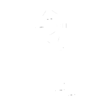 C=C(C)C(=O)OCCCCCOc1ccc(C(=O)c2ccccc2)c(O)c1